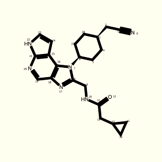 N#CC[C@H]1CC[C@@H](n2c(CNC(=O)CC3CC3)nc3cnc4[nH]ccc4c32)CC1